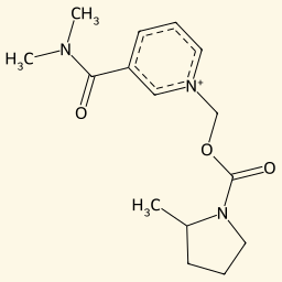 CC1CCCN1C(=O)OC[n+]1cccc(C(=O)N(C)C)c1